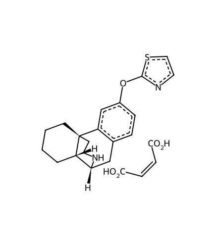 O=C(O)/C=C\C(=O)O.c1csc(Oc2ccc3c(c2)[C@@]24CCCC[C@H]2[C@@H](C3)NCC4)n1